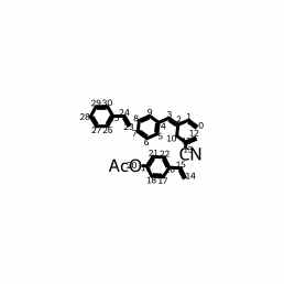 C=CC(=Cc1ccccc1)CC(=C)C#N.C=Cc1ccc(OC(C)=O)cc1.C=Cc1ccccc1